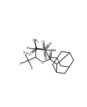 C=C(C)C(=O)CC12CC3CC(C1)C(C(=O)OC(C(F)(F)F)C(F)(F)S(=O)(=O)O)C(C3)C2